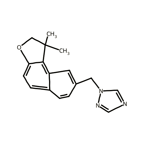 CC1(C)COc2ccc3ccc(Cn4cncn4)cc3c21